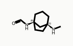 CN[C@@]12CCC[C@@](NC=O)(CC1)C2